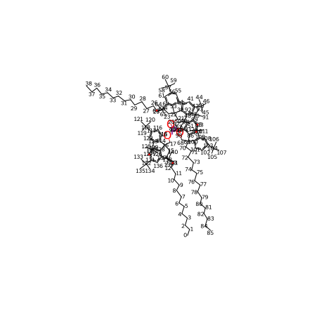 CCCCCCCCCCCCCCCCC(COP(OCC(CCCCCCCCCCCCCCCC)(c1ccc(C(C)(C)C)cc1C(C)(C)C)c1ccc(C(C)(C)C)cc1C(C)(C)C)OCC(CCCCCCCCCCCCCCCC)(c1ccc(C(C)(C)C)cc1C(C)(C)C)c1ccc(C(C)(C)C)cc1C(C)(C)C)(c1ccc(C(C)(C)C)cc1C(C)(C)C)c1ccc(C(C)(C)C)cc1C(C)(C)C